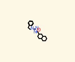 c1ccc2c(c1)CCN2c1noc(C2CCC3CCCCC3C2)n1